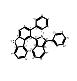 c1ccc(-c2ccc3oc4ccccc4c3c2-c2sc(-c3ccccc3)c3ccccc23)cc1